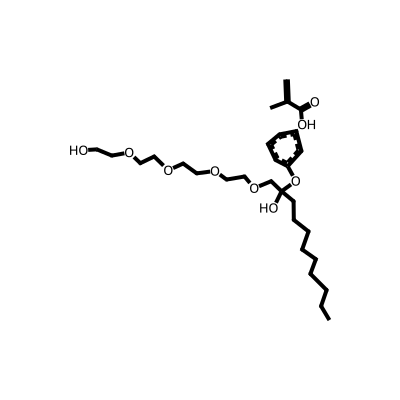 C=C(C)C(=O)O.CCCCCCCCCC(O)(COCCOCCOCCOCCO)Oc1ccccc1